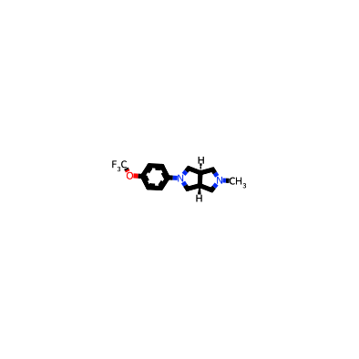 CN1C[C@@H]2CN(c3ccc(OC(F)(F)F)cc3)C[C@H]2C1